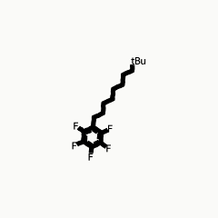 CC(C)(C)CCCCCCCCc1c(F)c(F)c(F)c(F)c1F